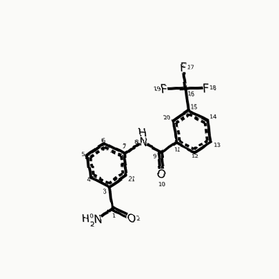 NC(=O)c1cccc(NC(=O)c2cccc(C(F)(F)F)c2)c1